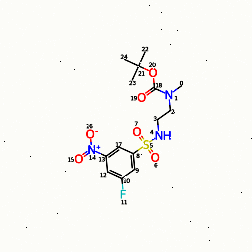 CN(CCNS(=O)(=O)c1cc(F)cc([N+](=O)[O-])c1)C(=O)OC(C)(C)C